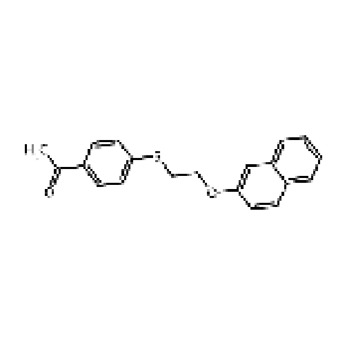 CC(=O)c1ccc(SCCOc2ccc3ccccc3c2)cc1